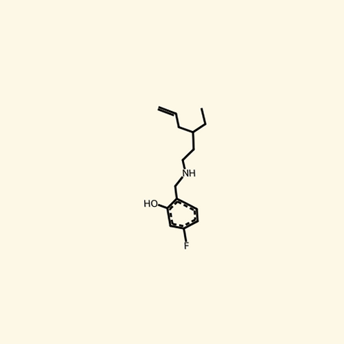 C=CCC(CC)CCNCc1ccc(F)cc1O